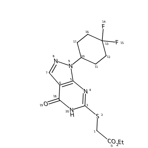 CCOC(=O)CSc1nc2c(cnn2C2CCC(F)(F)CC2)c(=O)[nH]1